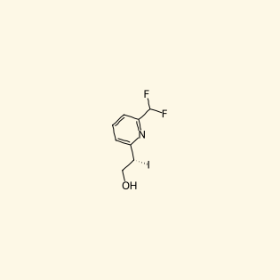 OC[C@@H](I)c1cccc(C(F)F)n1